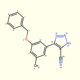 Cc1cc(OCc2ccccc2)cc(-c2nn[nH]c2C#N)c1